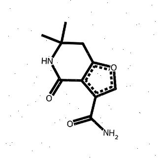 CC1(C)Cc2occ(C(N)=O)c2C(=O)N1